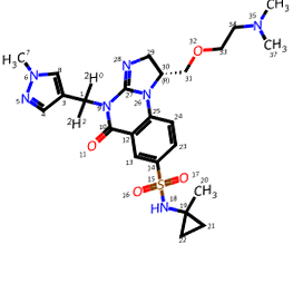 [2H]C([2H])(c1cnn(C)c1)N1C(=O)c2cc(S(=O)(=O)NC3(C)CC3)ccc2N2C1=NC[C@@H]2COCCN(C)C